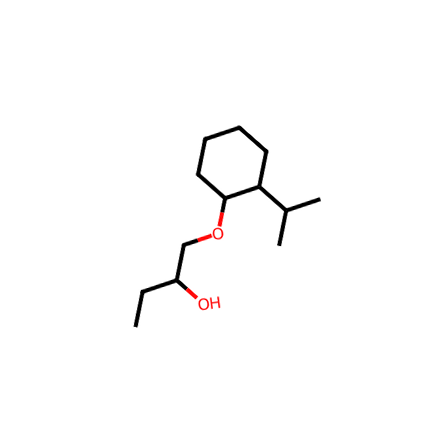 CCC(O)COC1CCCCC1C(C)C